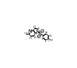 Cc1ccc(S(=O)(=O)n2ccc3nc(C)ccc32)cc1